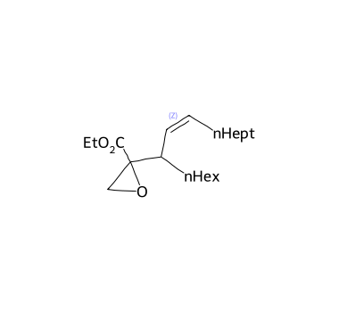 CCCCCCC/C=C\C(CCCCCC)C1(C(=O)OCC)CO1